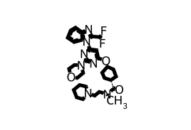 CN(CCN1CCCCC1)C(=O)[C@H]1CC[C@H](Oc2cc(-n3c(C(F)F)nc4ccccc43)nc(N3CCOCC3)n2)CC1